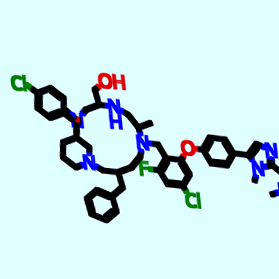 CC1CNC(CO)CN(C)C2(Cc3ccc(Cl)cc3)CCCN(CC(Cc3ccccc3)CCN1Cc1c(F)cc(Cl)cc1Oc1ccc(-c3cnc(CN(C)C)n3C)cc1)C2